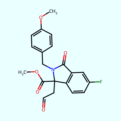 COC(=O)C1(CC=O)c2ccc(F)cc2C(=O)N1Cc1ccc(OC)cc1